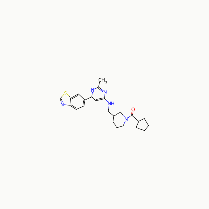 Cc1nc(NCC2CCCN(C(=O)C3CCCC3)C2)cc(-c2ccc3ncsc3c2)n1